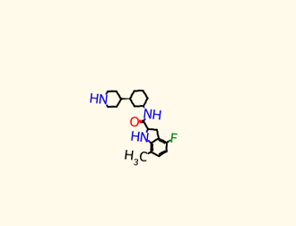 Cc1ccc(F)c2c1NC(C(=O)N[C@H]1CCC[C@H](C3CCNCC3)C1)C2